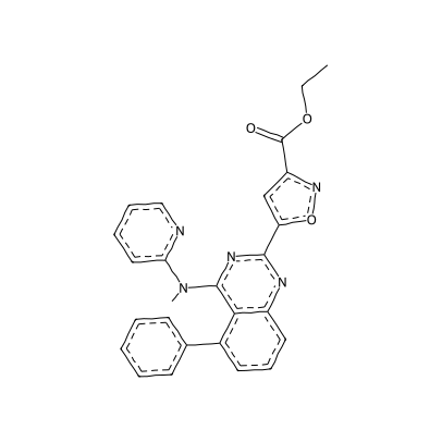 CCOC(=O)c1cc(-c2nc(N(C)c3ccccn3)c3c(-c4ccccc4)cccc3n2)on1